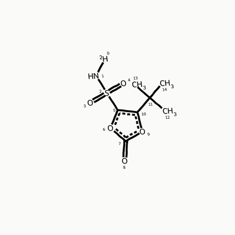 [2H]NS(=O)(=O)c1oc(=O)oc1C(C)(C)C